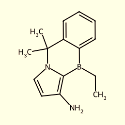 CCB1c2ccccc2C(C)(C)n2ccc(N)c21